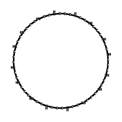 C1CNCCNCCCNCCNCCCNCCNCCCNCCNCCCNCCNCCCNCCNCCCNCCNCCCNCCNC1